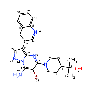 CC(C)(O)C1CCN(c2nc3c(C4C=Nc5ccccc5C4)cnn3c(N)c2Br)CC1